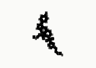 CCCn1cc(S(=O)(=O)N2CCC3=Cc4c(cnn4-c4ccc(F)cc4)C[C@]3(C(=O)OC)C2)nn1